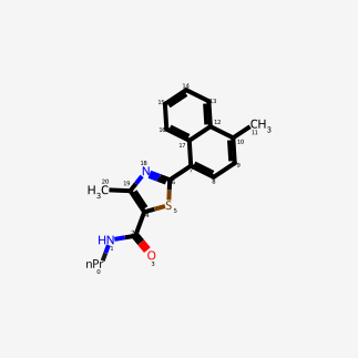 CCCNC(=O)c1sc(-c2ccc(C)c3ccccc23)nc1C